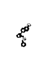 COc1ccc2cc(C3=C(CN(C)Cc4ccccc4)C4CCC3C4)ccc2c1